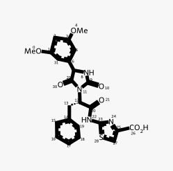 COc1cc(OC)cc(C2NC(=O)N([C@@H](Cc3ccccc3)C(=O)Nc3nc(C(=O)O)cs3)C2=O)c1